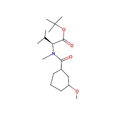 COC1CCCC(C(=O)N(C)[C@H](C(=O)OC(C)(C)C)C(C)C)C1